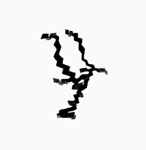 CCCCCCCCCCC(C)C(O)CN(CCOCCOCCN)CC(O)C(C)CCCCCCCCCC